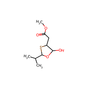 COC(=O)CC1SC(C(C)C)OC1O